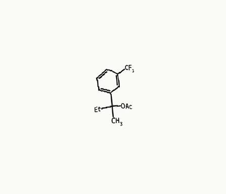 CCC(C)(OC(C)=O)c1cccc(C(F)(F)F)c1